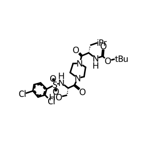 CC(C)C[C@H](NC(=O)OC(C)(C)C)C(=O)N1CCN(C(=O)[C@H](CO)NS(=O)(=O)c2ccc(Cl)cc2Cl)CC1